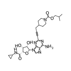 CC(C)COC(=O)N1CCC(CC#Cc2nc(N)c3ncn(C4O[C@H](C(=O)NC5CC5)[C@H](O)[C@@H]4O)c3n2)CC1